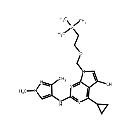 Cc1nn(C)cc1Nc1nc(C2CC2)c2c(C#N)cn(COCC[Si](C)(C)C)c2n1